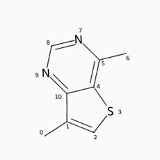 Cc1csc2c(C)ncnc12